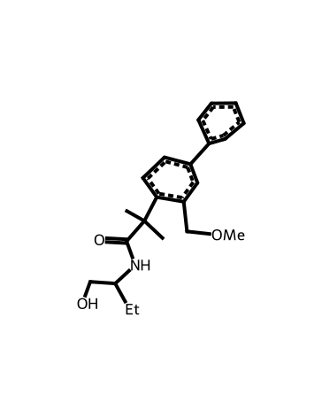 CCC(CO)NC(=O)C(C)(C)c1ccc(-c2ccccc2)cc1COC